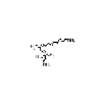 CC(COC(C)(C)CCN)OCCOCCOCCN